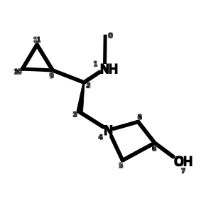 CN[C@@H](CN1CC(O)C1)C1CC1